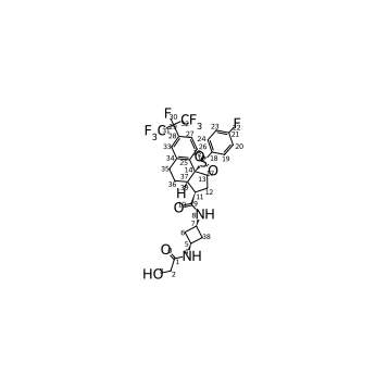 O=C(CO)N[C@H]1C[C@@H](NC(=O)[C@@H]2CC[C@@]3(S(=O)(=O)c4ccc(F)cc4)c4ccc(C(F)(C(F)(F)F)C(F)(F)F)cc4CC[C@@H]23)C1